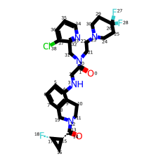 O=C(CNc1cccc2c1CCN(C(=O)[C@@H]1C[C@@H]1F)C2)N(CCN1CCC(F)(F)CC1)Cc1ncccc1Cl